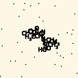 CC(C)(C)C1N(C(=O)O)CC12CN(c1cncc(N3C(=O)c4ccc(Cl)cc4C3(C)C)c1)C2